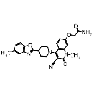 Cc1ccc2oc(C3CCN(c4c(C#N)c(=O)n(C)c5cc(OCC(N)=O)ccc45)CC3)nc2c1